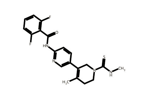 CNC(=S)N1CCC(C)=C(c2ccc(NC(=O)c3c(F)cccc3F)nc2)C1